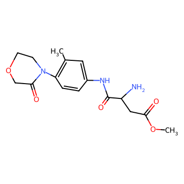 COC(=O)CC(N)C(=O)Nc1ccc(N2CCOCC2=O)c(C)c1